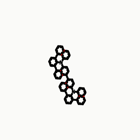 Cc1cc(-c2ccc(N(c3ccccc3)c3c(-c4ccccc4)cccc3-c3ccccc3)c(C)c2)ccc1N(c1ccccc1)c1c(-c2ccccc2)cccc1-c1ccccc1